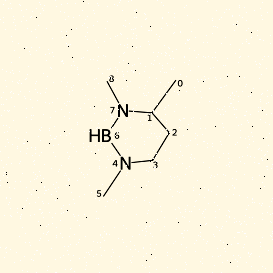 CC1CCN(C)BN1C